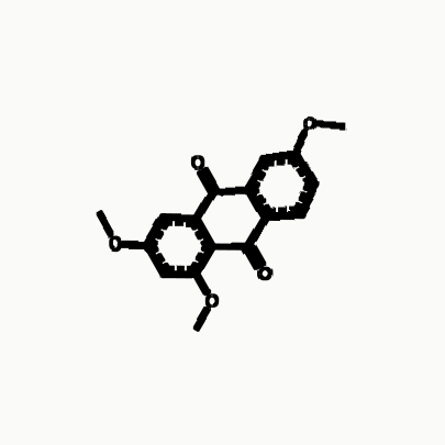 COc1ccc2c(c1)C(=O)c1cc(OC)cc(OC)c1C2=O